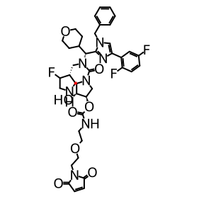 O=C(NCCOCCN1C(=O)C=CC1=O)O[C@@H]1CN(C(=O)N(C[C@@H]2CNCC2F)[C@@H](c2nc(-c3cc(F)ccc3F)cn2Cc2ccccc2)C2CCOCC2)C[C@@H]1O